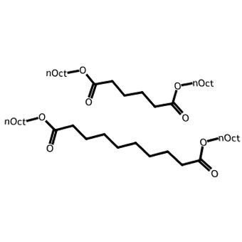 CCCCCCCCOC(=O)CCCCC(=O)OCCCCCCCC.CCCCCCCCOC(=O)CCCCCCCCC(=O)OCCCCCCCC